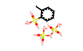 Cc1ccccc1S(=O)(=O)O.O=S(=O)(O)OS(=O)(=O)O